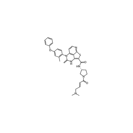 C=c1[nH]c2c(C(=O)N[C@@H]3CCN(C(=O)/C=C/CN(C)C)C3)sc3nccc(c32)n1-c1ccc(Oc2ccccc2)cc1C